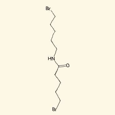 O=C(CCCCBr)NCCCCCBr